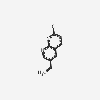 C=Cc1cnc2nc(Cl)ccc2c1